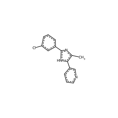 Cc1nc(-c2cccc(Cl)c2)[nH]c1-c1cccnc1